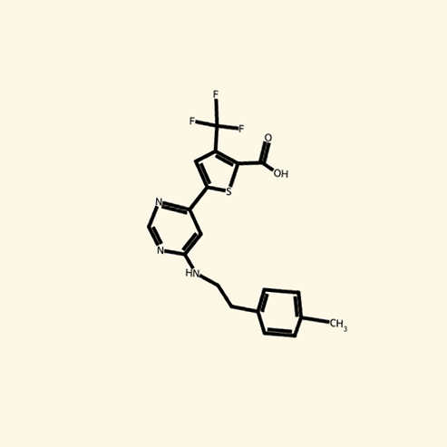 Cc1ccc(CCNc2cc(-c3cc(C(F)(F)F)c(C(=O)O)s3)ncn2)cc1